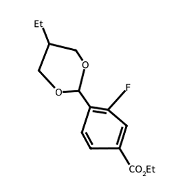 CCOC(=O)c1ccc(C2OCC(CC)CO2)c(F)c1